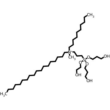 CCCCCCCCCCCCCCCCCC[N+](C)(CCCCCCCCCC)CCC[Si](OCCO)(OCCCO)OCCCO